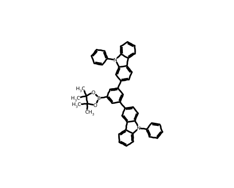 CC1(C)OB(c2cc(-c3ccc4c(c3)c3ccccc3n4-c3ccccc3)cc(-c3ccc4c5ccccc5n(-c5ccccc5)c4c3)c2)OC1(C)C